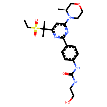 CCS(=O)(=O)C(C)(C)c1cc(N2CCOC[C@@H]2C)nc(-c2ccc(NC(=O)NCCO)cc2)n1